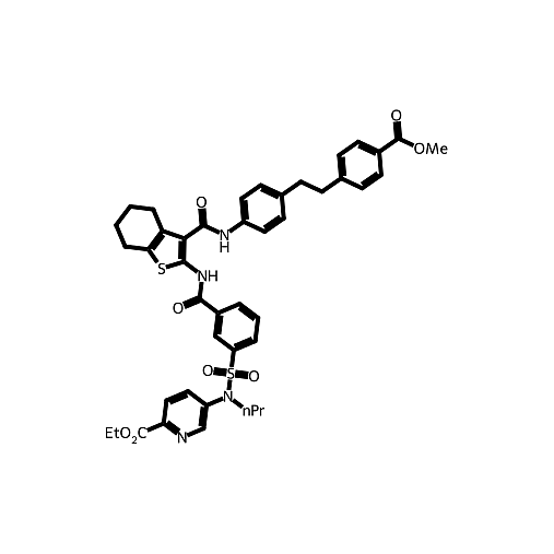 CCCN(c1ccc(C(=O)OCC)nc1)S(=O)(=O)c1cccc(C(=O)Nc2sc3c(c2C(=O)Nc2ccc(CCc4ccc(C(=O)OC)cc4)cc2)CCCC3)c1